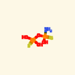 NP(O)(=S)OP(O)(O)=S